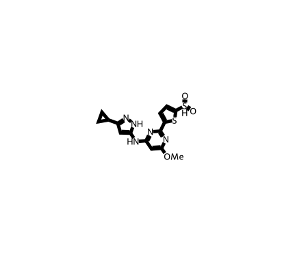 COc1cc(Nc2cc(C3CC3)n[nH]2)nc(-c2ccc([SH](=O)=O)s2)n1